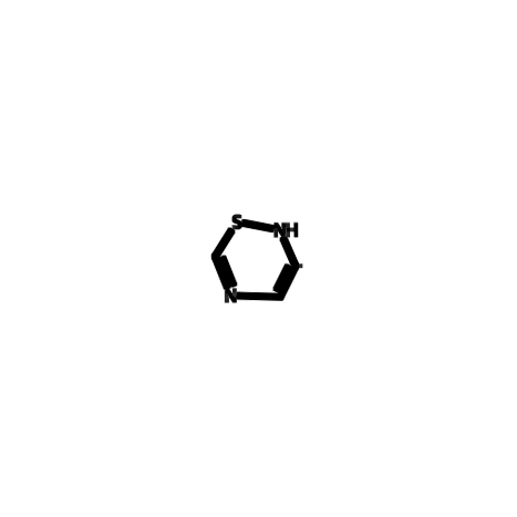 [C]1=CN=CSN1